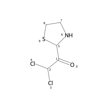 O=C(C(Cl)Cl)C1NCCS1